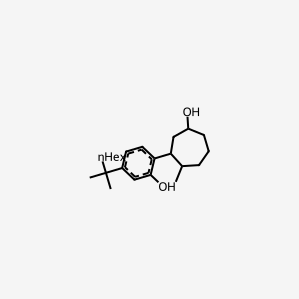 CCCCCCC(C)(C)c1ccc(C2CC(O)CCCC2C)c(O)c1